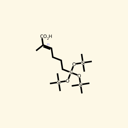 C/C(=C\CCC[Si](O[Si](C)(C)C)(O[Si](C)(C)C)O[Si](C)(C)C)C(=O)O